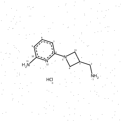 Cl.NCC1CN(c2cccc(N)n2)C1